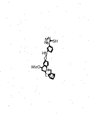 COC1CC(C(=O)O)N(Cc2ccccc2)c2ccc(OCNc3cccc(-n4nnnc4S)c3)cc21